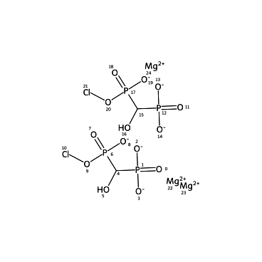 O=P([O-])([O-])C(O)P(=O)([O-])OCl.O=P([O-])([O-])C(O)P(=O)([O-])OCl.[Mg+2].[Mg+2].[Mg+2]